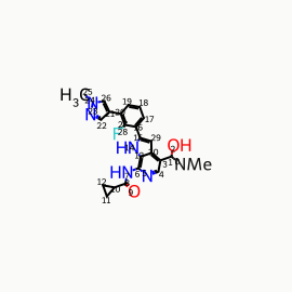 CNC(O)c1cnc(NC(=O)C2CC2)c2[nH]c(-c3cccc(-c4cnn(C)c4)c3F)cc12